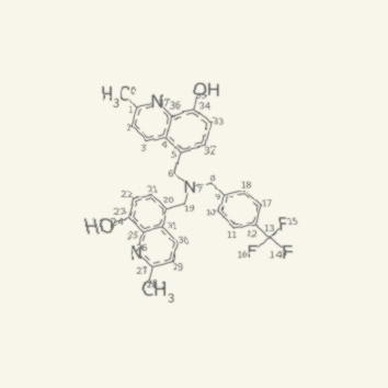 Cc1ccc2c(CN(Cc3ccc(C(F)(F)F)cc3)Cc3ccc(O)c4nc(C)ccc34)ccc(O)c2n1